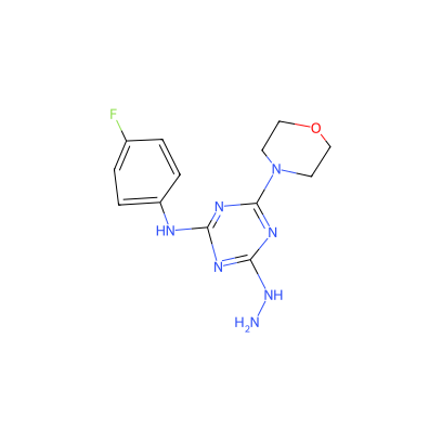 NNc1nc(Nc2ccc(F)cc2)nc(N2CCOCC2)n1